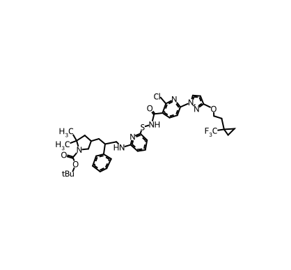 CC(C)(C)OC(=O)N1CC(CC(CNc2cccc(SNC(=O)c3ccc(-n4ccc(OCCC5(C(F)(F)F)CC5)n4)nc3Cl)n2)c2ccccc2)CC1(C)C